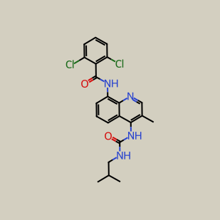 Cc1cnc2c(NC(=O)c3c(Cl)cccc3Cl)cccc2c1NC(=O)NCC(C)C